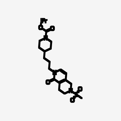 CC(C)OC(=O)N1CCC(CCCn2ccc3c(c2=O)CCN(S(C)(=O)=O)C3)CC1